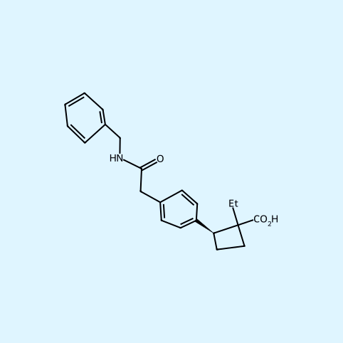 CCC1(C(=O)O)CC[C@H]1c1ccc(CC(=O)NCc2ccccc2)cc1